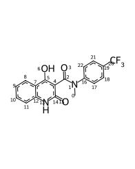 CN(C(=O)c1c(O)c2ccccc2[nH]c1=O)c1ccc(C(F)(F)F)cc1